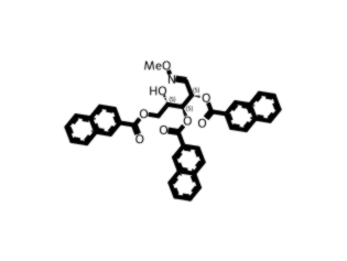 CON=C[C@H](OC(=O)c1ccc2ccccc2c1)[C@@H](OC(=O)c1ccc2ccccc2c1)[C@@H](O)COC(=O)c1ccc2ccccc2c1